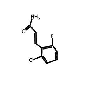 NC(=O)C=Cc1c(F)cccc1Cl